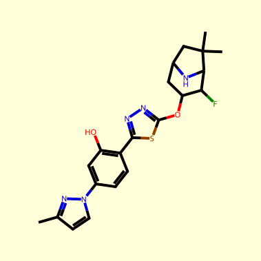 Cc1ccn(-c2ccc(-c3nnc(OC4CC5CC(C)(C)C(N5)C4F)s3)c(O)c2)n1